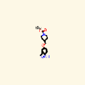 CC(C)(C)OC(=O)N1CCC(COc2ccc3[nH]ncc3c2)CC1